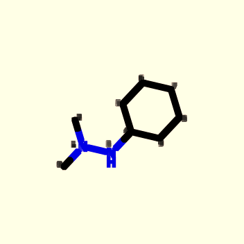 CN(C)NC1CCCCC1